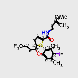 C=C(CCNC(=O)C1=CCC(C(CCC(F)(F)F)OC2=CC(C)C(I)C(C)=C2)S1)OC